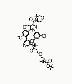 COc1cc2c(cc1-c1cncc(NC(=O)CCOCCNC(=O)OC(C)(C)C)c1)-c1c(c(C(=O)N3CCOCC3(C)C)nn1-c1cc(Cl)cc(Cl)c1)CO2